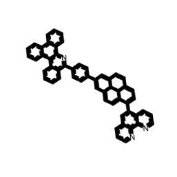 C1=CC2=CC=C(c3cc4cccnc4c4ncccc34)C3=CC=C4C=C(c5ccc(-c6nc7c8ccccc8c8ccccc8c7c7ccccc67)cc5)C=C1C4C23